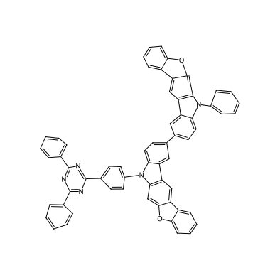 c1ccc(-c2nc(-c3ccccc3)nc(-c3ccc(-n4c5ccc(-c6ccc7c(c6)c6cc8c(cc6n7-c6ccccc6)oc6ccccc68)cc5c5cc6c(cc54)oc4ccccc46)cc3)n2)cc1